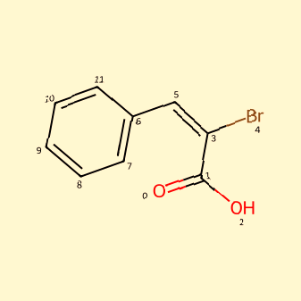 O=C(O)/C(Br)=C\c1ccccc1